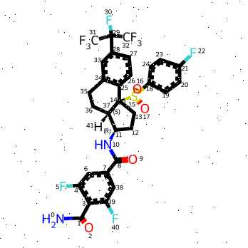 NC(=O)c1c(F)cc(C(=O)N[C@@H]2CC[C@@]3(S(=O)(=O)c4ccc(F)cc4)c4ccc(C(F)(C(F)(F)F)C(F)(F)F)cc4CC[C@@H]23)cc1F